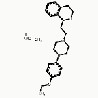 CCOc1ccc(N2CCN(CCC3OCCc4ccccc43)CC2)cc1.Cl.Cl.O